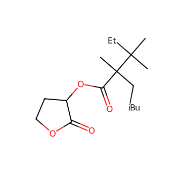 CCC(C)CC(C)(C(=O)OC1CCOC1=O)C(C)(C)CC